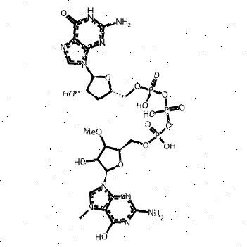 COC1C(O)[C@H](n2c[n+](C)c3c(O)nc(N)nc32)O[C@@H]1COP(=O)(O)OP(=O)(O)OP(=O)(O)OC[C@@H]1C[C@H](O)C(n2cnc3c(=O)[nH]c(N)nc32)O1